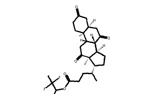 CC(CCC(=O)OC(C)C(C)(F)F)[C@H]1CC[C@@H]2[C@H]3C(=O)C[C@@H]4CC(=O)CC[C@]4(C)[C@H]3CC(=O)[C@]12C